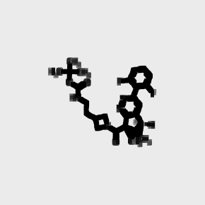 CC(C)(C)OC(=O)NCCC1CN(C(=O)C23CC[C@H](c4cc(-c5c(F)cccc5F)nnc42)C3(C)C)C1